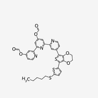 CCCCCSc1ccc(-c2sc(-c3ccnc(-c4cc(OC=O)cc(-c5cc(OC=O)ccn5)n4)c3)c3c2OCCO3)s1